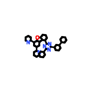 c1ccc(-c2cccc(-c3nc(-c4ccccc4)nc(-c4cccc5oc6c(-c7ccccn7)cc(-c7ccccn7)cc6c45)n3)c2)cc1